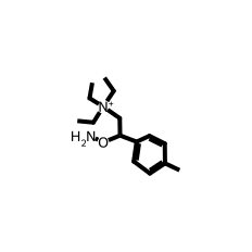 CC[N+](CC)(CC)CC(ON)c1ccc(C)cc1